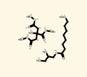 CCCCCCCCCCCCCCCCCC(=O)OCC(O)CO.CCCCOC(=O)CC(O)(CC(=O)OCCCC)C(=O)OCCCC